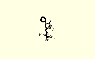 C=C(CC)/C(N)=C/C=C(\N)CN(c1ccccc1)[S+](C)[O-]